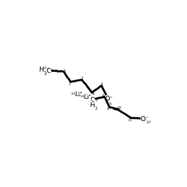 CCCCCC[O-].CCCCC[O-].[Li+].[Li+]